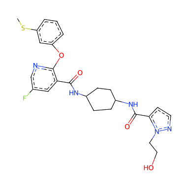 CSc1cccc(Oc2ncc(F)cc2C(=O)NC2CCC(NC(=O)c3ccnn3CCO)CC2)c1